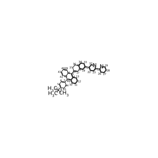 CC(C)(C)C1=CC=C(C2=c3ccccc3=C(C3=Cc4cc(-c5ccc(-c6ccccn6)nc5)ccc4CC3)C3C=CC=CC23)CC1